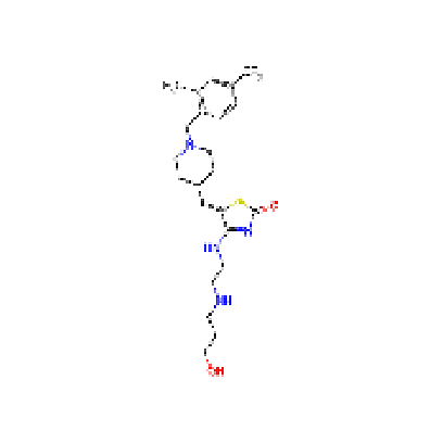 O=C1N=C(NCCNCCCO)/C(=C/C2CCN(Cc3ccc(C(F)(F)F)cc3C(F)(F)F)CC2)S1